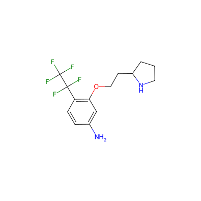 Nc1ccc(C(F)(F)C(F)(F)F)c(OCCC2CCCN2)c1